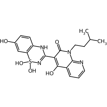 CC(C)CCn1c(=O)c(C2=NS(O)(O)c3cc(O)ccc3N2)c(O)c2cccnc21